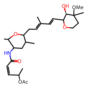 COC1(C)CCOC(/C=C/C(C)=C/CC2OC(C)C(NC(=O)/C=C\C(C)OC(C)=O)CC2C)[C@H]1O